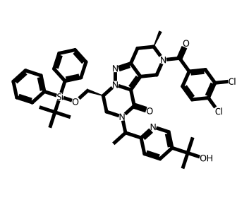 CC(c1ccc(C(C)(C)O)cn1)N1C[C@@H](CO[Si](c2ccccc2)(c2ccccc2)C(C)(C)C)n2nc3c(c2C1=O)CN(C(=O)c1ccc(Cl)c(Cl)c1)[C@H](C)C3